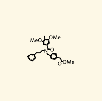 COC(=O)Cc1ccc(CN(CCCc2ccccc2)C(=O)c2cc(OC)c(C)c(OC)c2)cc1